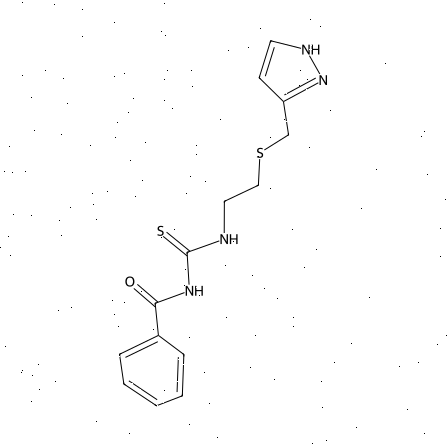 O=C(NC(=S)NCCSCc1cc[nH]n1)c1ccccc1